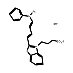 CC(=O)N(C=CC=Cc1oc2ccccc2[n+]1CCCS(=O)(=O)O)c1ccccc1.[OH-]